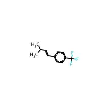 CC(C)C=Cc1ccc(C(F)(F)F)cc1